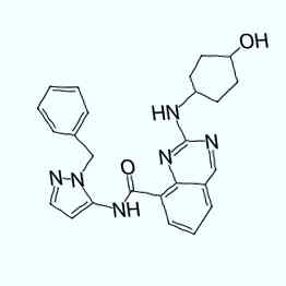 O=C(Nc1ccnn1Cc1ccccc1)c1cccc2cnc(NC3CCC(O)CC3)nc12